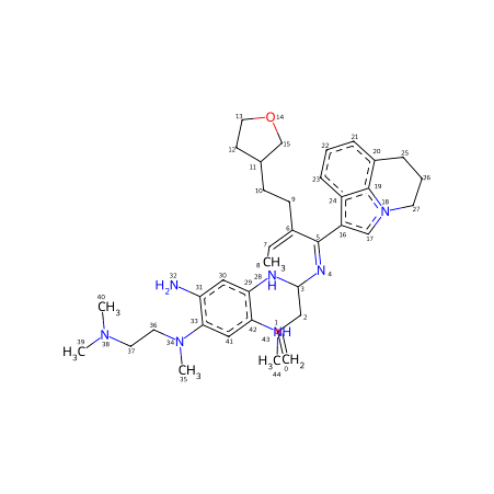 C=CCC(/N=C(\C(=C/C)CCC1CCOC1)c1cn2c3c(cccc13)CCC2)Nc1cc(N)c(N(C)CCN(C)C)cc1NC